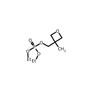 CCOP(=O)(OCC)OCC1(C)COC1